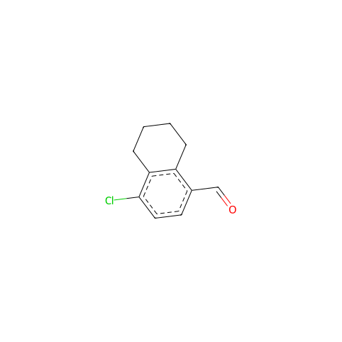 O=Cc1ccc(Cl)c2c1CCCC2